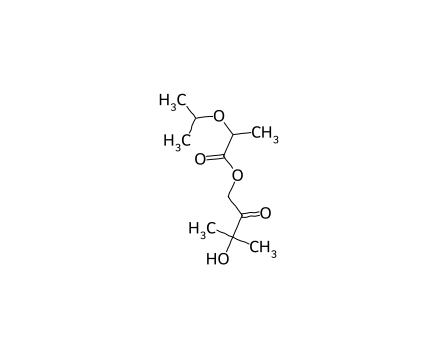 CC(C)OC(C)C(=O)OCC(=O)C(C)(C)O